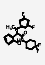 CN(c1cc(F)cc(F)c1)C(C(=O)NC1CCC(F)(F)CC1)c1ccccc1Cl